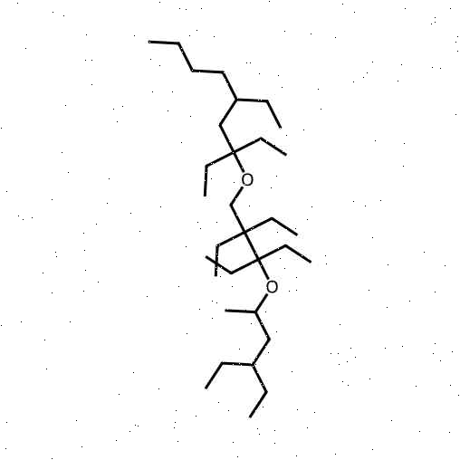 CCCCC(CC)CC(CC)(CC)OCC(CC)(CC)C(CC)(CC)OC(C)CC(CC)CC